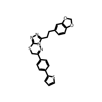 c1csc(-c2ccc(C3=Nn4c(CCc5ccc6c(c5)OCO6)nnc4SC3)cc2)c1